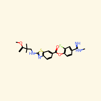 C=C(OC)C(C)(C)CNc1nc2ccc(C(=O)Oc3ccc(C(=N)NC)cc3F)cc2s1